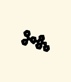 c1ccc(Oc2c3ccccc3c(-c3ccc(N(c4ccccc4)c4ccccc4)cc3)c3ccccc23)cc1